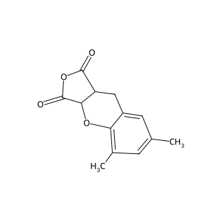 Cc1cc(C)c2c(c1)CC1C(=O)OC(=O)C1O2